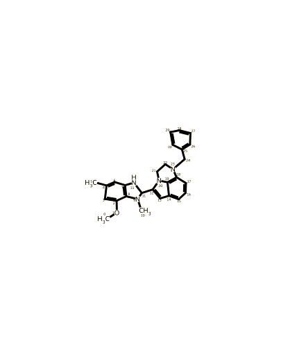 COc1cc(C)cc2c1N(C)C(c1cc3cccc4c3n1CCN4Cc1ccccc1)N2